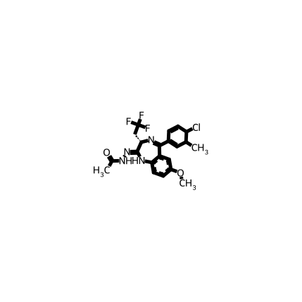 COc1ccc2c(c1)C(C1=CC(C)C(Cl)C=C1)=N[C@@H](CC(F)(F)F)/C(=N/NC(C)=O)N2